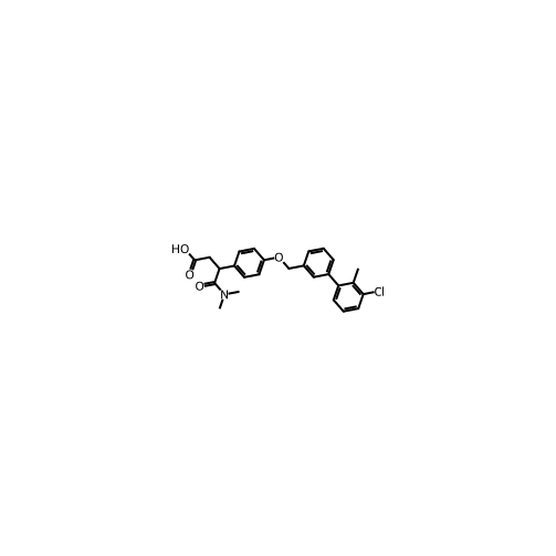 Cc1c(Cl)cccc1-c1cccc(COc2ccc(C(CC(=O)O)C(=O)N(C)C)cc2)c1